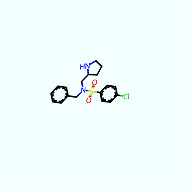 O=S(=O)(c1ccc(Cl)cc1)N(Cc1ccccc1)CC1CCCN1